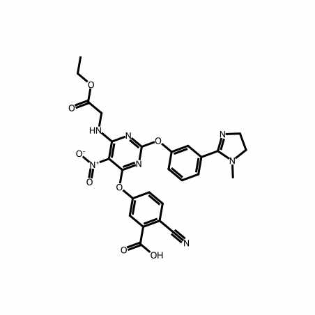 CCOC(=O)CNc1nc(Oc2cccc(C3=NCCN3C)c2)nc(Oc2ccc(C#N)c(C(=O)O)c2)c1[N+](=O)[O-]